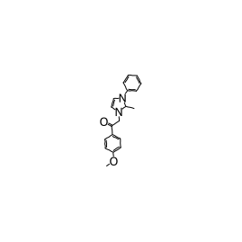 COc1ccc(C(=O)CN2C=CN(c3ccccc3)C2C)cc1